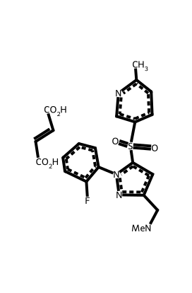 CNCc1cc(S(=O)(=O)c2ccc(C)nc2)n(-c2ccccc2F)n1.O=C(O)C=CC(=O)O